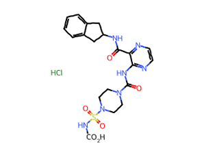 Cl.O=C(O)NS(=O)(=O)N1CCN(C(=O)Nc2nccnc2C(=O)NC2Cc3ccccc3C2)CC1